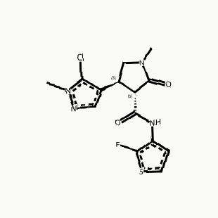 CN1C[C@H](c2cnn(C)c2Cl)[C@@H](C(=O)Nc2ccsc2F)C1=O